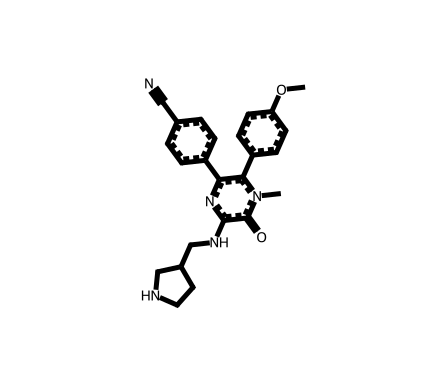 COc1ccc(-c2c(-c3ccc(C#N)cc3)nc(NCC3CCNC3)c(=O)n2C)cc1